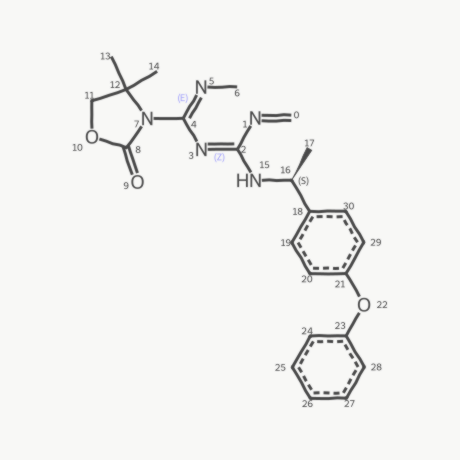 C=N/C(=N\C(=N/C)N1C(=O)OCC1(C)C)N[C@@H](C)c1ccc(Oc2ccccc2)cc1